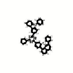 c1ccc(-c2nc(-c3ccc(-c4cccc5ccc6c7ccccc7oc6c45)cc3)nc(-c3ccc4c(c3)c3ccccc3n4-c3ccccc3)n2)cc1